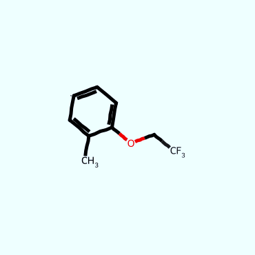 Cc1c[c]ccc1OCC(F)(F)F